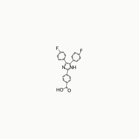 O=C(O)c1ccc(-c2nc(-c3ccc(F)cc3)c(-c3ccc(F)cc3)[nH]2)cc1